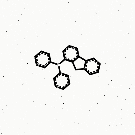 c1ccc(P(c2ccccc2)c2cccc3c2Cc2ccccc2-3)cc1